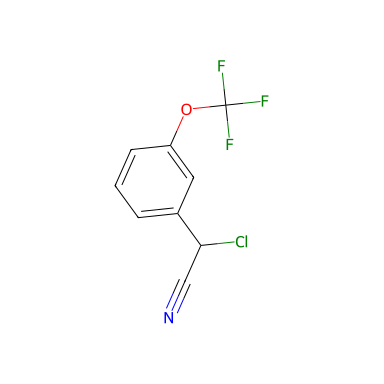 N#CC(Cl)c1cccc(OC(F)(F)F)c1